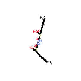 CCCCCCCCCCCCC(CC(=O)O)SCCC(=O)NCNC(=O)CCSC(CCCCCCCCCCCC)CC(=O)O